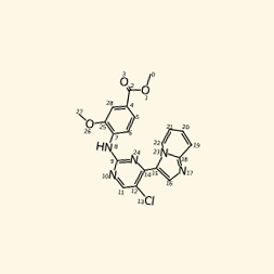 COC(=O)c1ccc(Nc2ncc(Cl)c(-c3cnc4ccccn34)n2)c(OC)c1